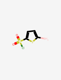 Bc1ccc(S(=O)(=O)Cl)s1